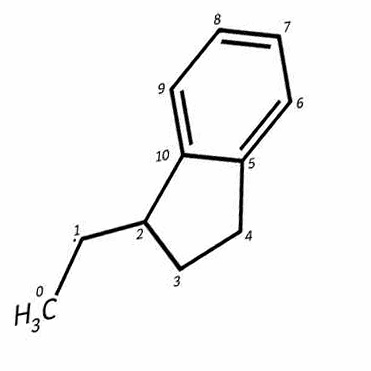 C[CH]C1CCc2ccccc21